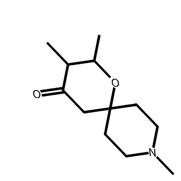 CC1OC2(CCN(C)CC2)CC(=O)C1C